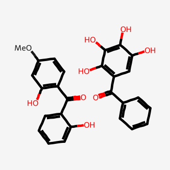 COc1ccc(C(=O)c2ccccc2O)c(O)c1.O=C(c1ccccc1)c1cc(O)c(O)c(O)c1O